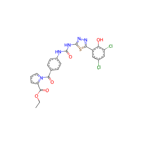 CCOC(=O)c1cccn1C(=O)c1ccc(NC(=O)Nc2nnc(-c3cc(Cl)cc(Cl)c3O)s2)cc1